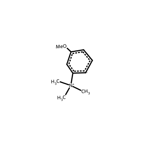 COc1cc[c]c([N+](C)(C)C)c1